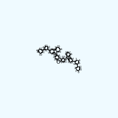 c1ccc(-c2cccc(-c3ccc4c(c3)c3ccccc3n4-c3ccc4oc5ccc(-n6c7ccccc7c7cc(-c8cccc(-c9ccccc9)c8)ccc76)cc5c4c3)c2)cc1